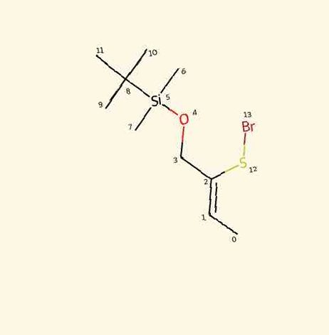 C/C=C(/CO[Si](C)(C)C(C)(C)C)SBr